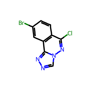 Clc1nn2cnnc2c2cc(Br)ccc12